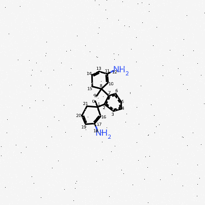 CC1(c2ccccc2C2(C)C=C(N)C=CC2)C=C(N)C=CC1